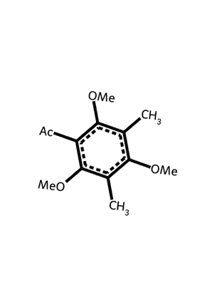 COc1c(C)c(OC)c(C(C)=O)c(OC)c1C